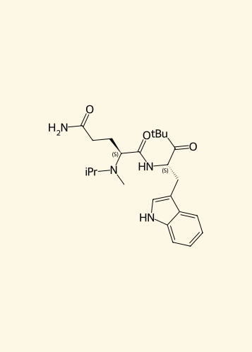 CC(C)N(C)[C@@H](CCC(N)=O)C(=O)N[C@@H](Cc1c[nH]c2ccccc12)C(=O)C(C)(C)C